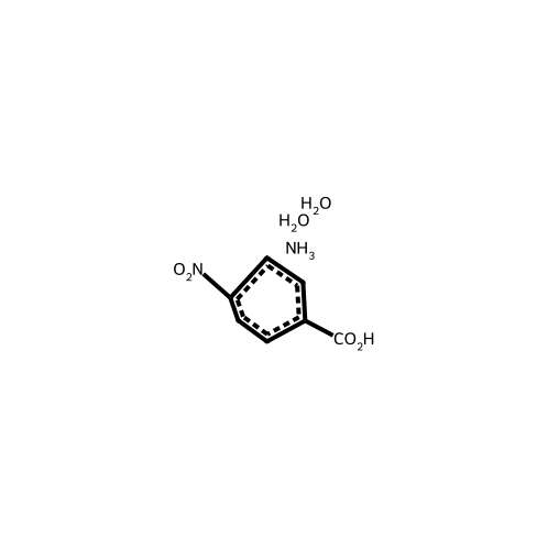 N.O.O.O=C(O)c1ccc([N+](=O)[O-])cc1